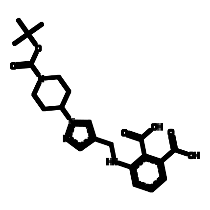 CC(C)(C)OC(=O)N1CCC(n2cc(CNc3cccc(C(=O)O)c3C(=O)O)cn2)CC1